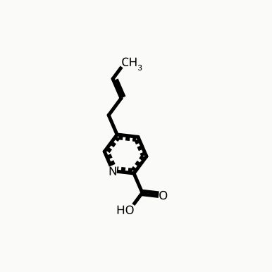 CC=CCc1ccc(C(=O)O)nc1